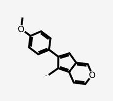 [CH2]c1c2ccocc-2cc1-c1ccc(OC)cc1